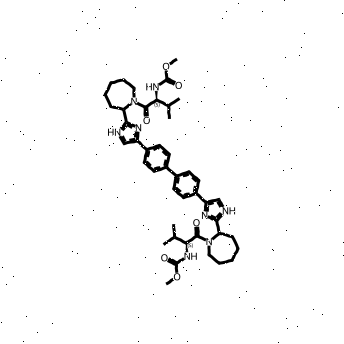 COC(=O)N[C@H](C(=O)N1CCCCCC1c1nc(-c2ccc(-c3ccc(-c4c[nH]c(C5CCCCCN5C(=O)[C@@H](NC(=O)OC)C(C)C)n4)cc3)cc2)c[nH]1)C(C)C